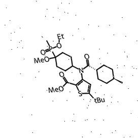 CCOP(C)(=O)C1(OC)CCC(N(c2cc(C(C)(C)C)sc2C(=O)OC)C(=O)[C@H]2CC[C@H](C)CC2)CC1